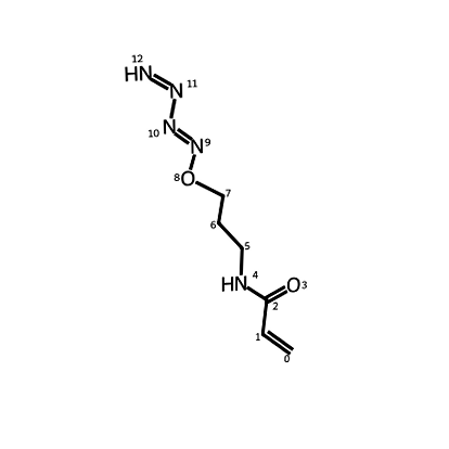 C=CC(=O)NCCCON=NN=N